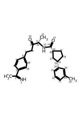 CC(=N)c1ccc(CCC(=O)[C@H](C)NC(=O)[C@@H]2CC[C@H](c3cccc(C)c3)C2)cc1